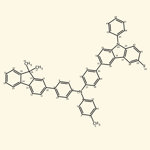 Cc1ccc(N(c2ccc(-c3ccc4c(c3)C(C)(C)c3ccccc3-4)cc2)c2ccc(-c3ccc4c(c3)c3cc(F)ccc3n4-c3ccccc3)cc2)cc1